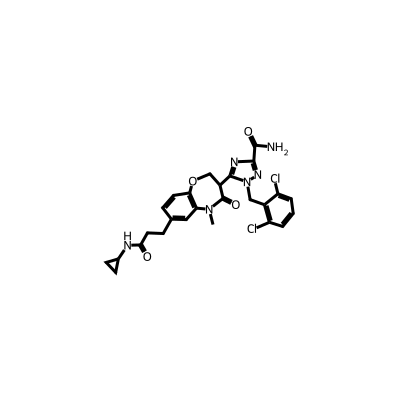 CN1C(=O)C(c2nc(C(N)=O)nn2Cc2c(Cl)cccc2Cl)COc2ccc(CCC(=O)NC3CC3)cc21